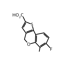 Cc1c(F)ccc2c1OCc1cc(C(=O)O)sc1-2